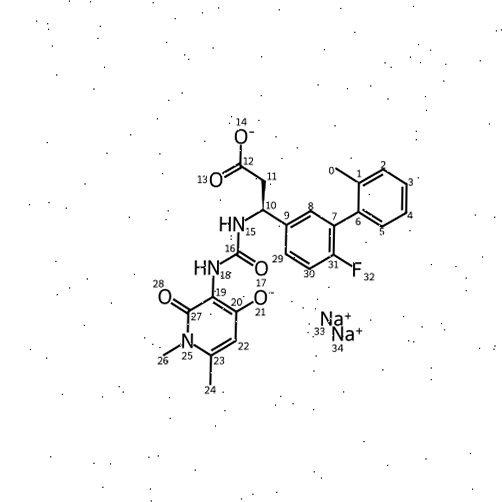 Cc1ccccc1-c1cc([C@H](CC(=O)[O-])NC(=O)Nc2c([O-])cc(C)n(C)c2=O)ccc1F.[Na+].[Na+]